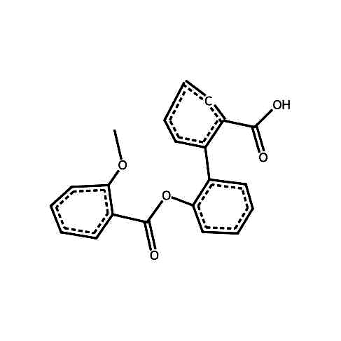 COc1ccccc1C(=O)Oc1ccccc1-c1ccccc1C(=O)O